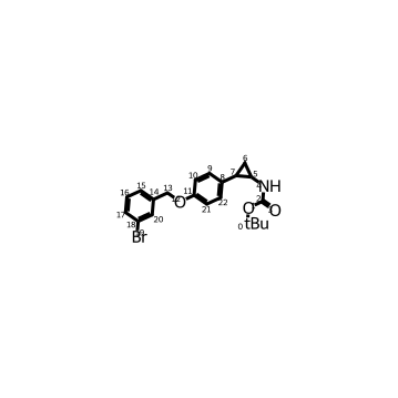 CC(C)(C)OC(=O)NC1CC1c1ccc(OCc2cccc(Br)c2)cc1